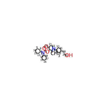 Cc1c(OC(=O)N(c2ccccc2)c2ccccc2)c(=O)ccn1-c1ccc(CCO)cc1